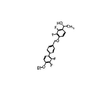 CCOc1ccc(-c2ccc(COc3ccc(C(C)O)c(F)c3F)cc2)c(F)c1F